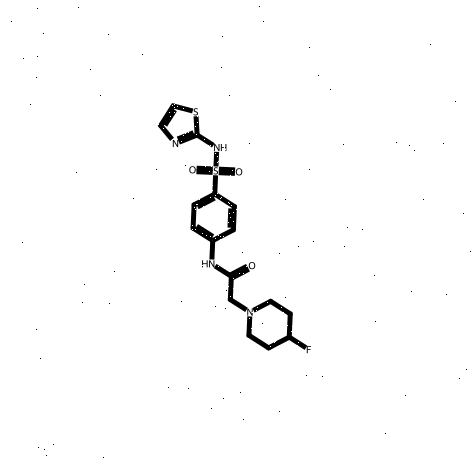 O=C(CN1CCC(F)CC1)Nc1ccc(S(=O)(=O)Nc2nccs2)cc1